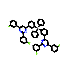 Fc1cccc(-c2cc(-c3cccc([Si](c4ccccc4)(c4ccccc4)c4cccc(-c5cc(-c6cccc(F)c6)nc(-c6cccc(F)c6)n5)c4)c3)nc(-c3cccc(F)c3)n2)c1